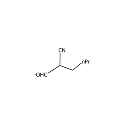 CCCCC([C]=O)C#N